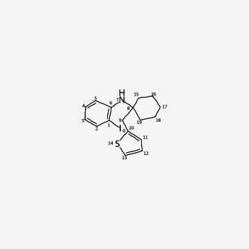 Ic1ccc[c]c1NC1(Cc2cccs2)CCCCC1